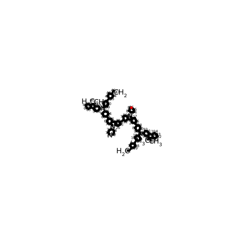 C=Cc1ccc(-c2ccc(N(c3ccc(-c4ccc5c(c4)c4cc(-c6ccc7c(c6)c6cc(-c8ccc(N(c9ccc(-c%10ccc(C=C)cc%10)cc9)c9ccc%10c(c9)C(C)(C)c9ccccc9-%10)cc8)ccc6n7-c6ccncc6)ccc4n5-c4ccccc4)cc3)c3ccc4c(c3)C(C)(C)c3ccccc3-4)cc2)cc1